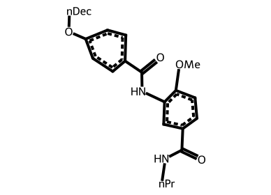 CCCCCCCCCCOc1ccc(C(=O)Nc2cc(C(=O)NCCC)ccc2OC)cc1